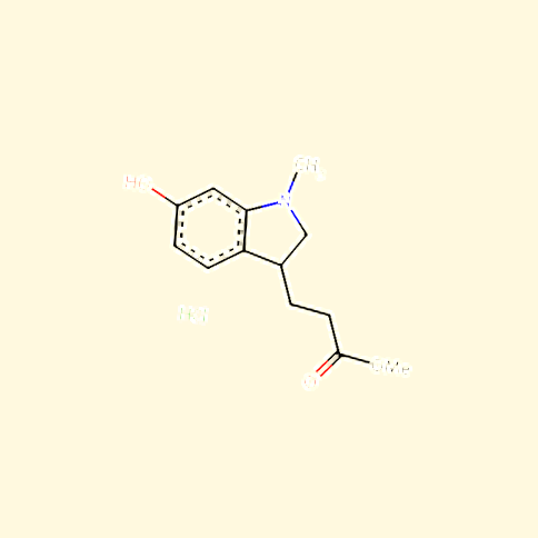 COC(=O)CCC1CN(C)c2cc(O)ccc21.Cl